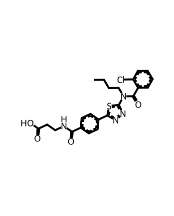 CCCCN(C(=O)c1ccccc1Cl)c1nnc(-c2ccc(C(=O)NCCC(=O)O)cc2)s1